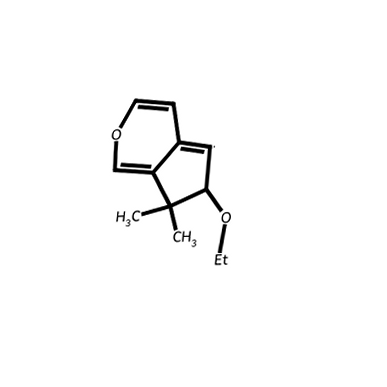 CCOC1[C]=C2C=COC=C2C1(C)C